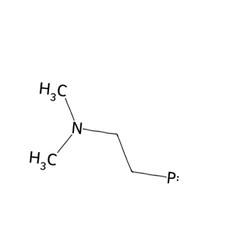 CN(C)CC[P]